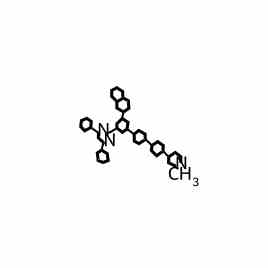 Cc1cc(-c2ccc(-c3ccc(-c4cc(-c5ccc6ccccc6c5)cc(-c5nc(-c6ccccc6)cc(-c6ccccc6)n5)c4)cc3)cc2)ccn1